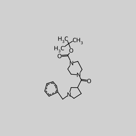 CC(C)(C)OC(=O)N1CCN(C(=O)C2CCN(Cc3ccccc3)C2)CC1